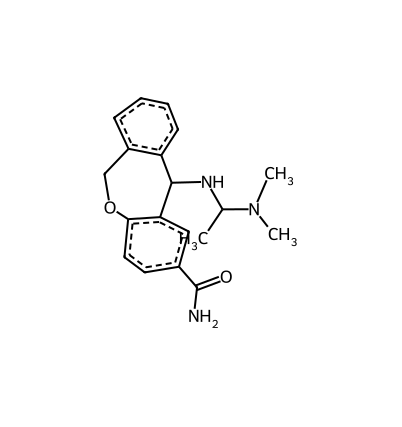 CC(NC1c2ccccc2COc2ccc(C(N)=O)cc21)N(C)C